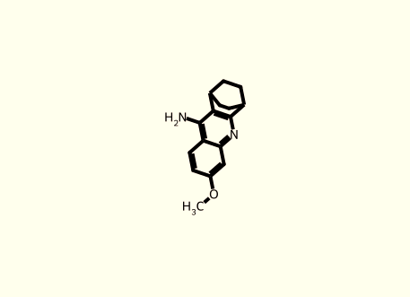 COc1ccc2c(N)c3c(nc2c1)C1CCC3CC1